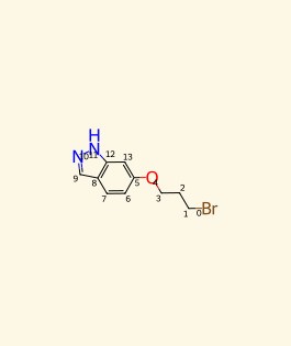 BrCCCOc1ccc2cn[nH]c2c1